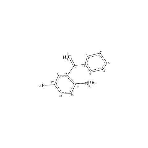 C=C(c1ccccc1)c1cc(F)ccc1NC(C)=O